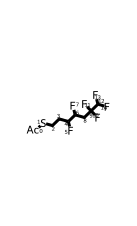 CC(=O)SCCC(F)C(F)CC(F)(F)C(F)F